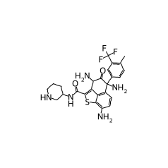 Cc1ccc(C2(N)C(=O)C(N)c3c(C(=O)NC4CCCNC4)sc4c(N)ccc2c34)cc1C(F)(F)F